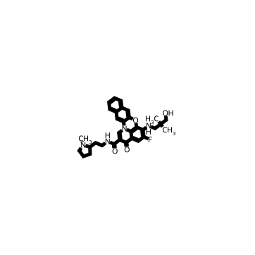 CN1CCCC1CCNC(=O)c1cn2c3c(c(NCC(C)(C)CO)c(F)cc3c1=O)Oc1cc3ccccc3cc1-2